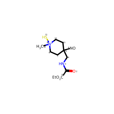 CCOC(=O)C(=O)NCC1(N=O)CC[N+](C)(S)CC1